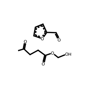 CC(=O)CCC(=O)OCO.O=Cc1ccco1